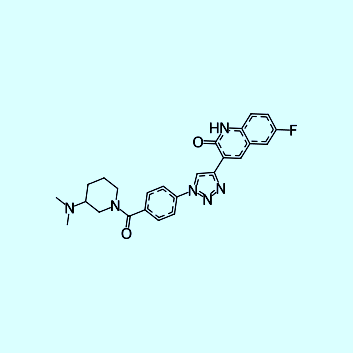 CN(C)C1CCCN(C(=O)c2ccc(-n3cc(-c4cc5cc(F)ccc5[nH]c4=O)nn3)cc2)C1